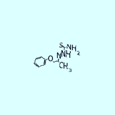 CC(COc1ccccc1)=NNC(N)=S